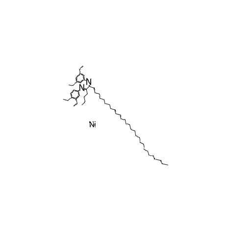 CCCCCCCCCCCCCCCCCCCCCCCCCCCCCC(=Nc1cc(CC)cc(CC)c1)C(CCCC)=Nc1ccc(CC)c(CC)c1.[Ni]